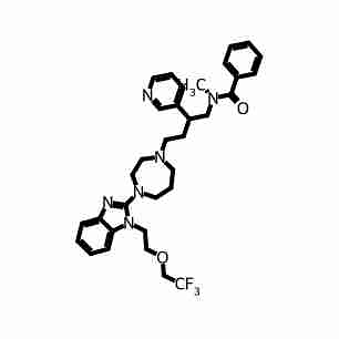 CN(CC(CCN1CCCN(c2nc3ccccc3n2CCOCC(F)(F)F)CC1)c1cccnc1)C(=O)c1ccccc1